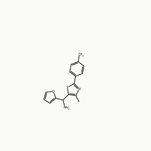 Cc1nc(-c2ccc(C(F)(F)F)cc2)sc1C(N)c1ccco1